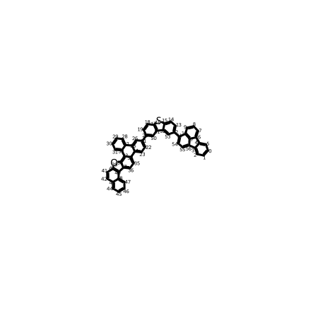 c1ccc2c(c1)-c1cccc3c(-c4ccc5sc6ccc(-c7ccc8c(c7)c7ccccc7c7c8ccc8c7oc7ccc9ccccc9c78)cc6c5c4)ccc-2c13